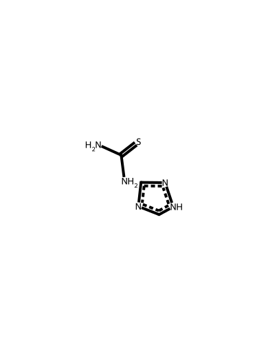 NC(N)=S.c1nc[nH]n1